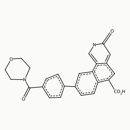 O=C1C=c2cc(C(=O)O)c3ccc(-c4ccc(C(=O)N5CCOCC5)cc4)cc3c2=C[N]1